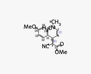 COC(=O)/C(C#N)=C(\C=C/N(C)C)c1ccc(OC)cc1